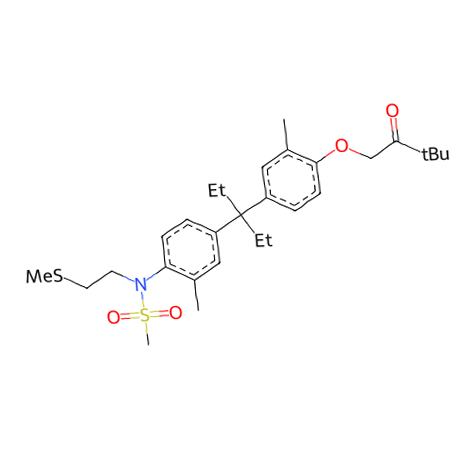 CCC(CC)(c1ccc(OCC(=O)C(C)(C)C)c(C)c1)c1ccc(N(CCSC)S(C)(=O)=O)c(C)c1